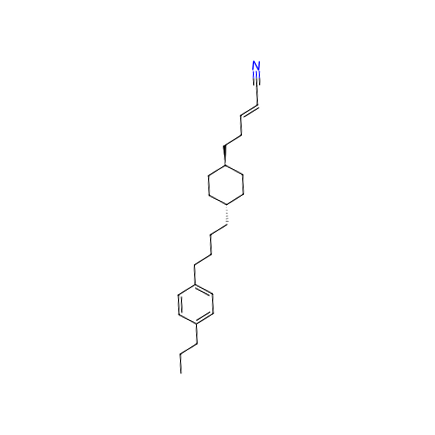 CCCc1ccc(CCCC[C@H]2CC[C@H](CCC=CC#N)CC2)cc1